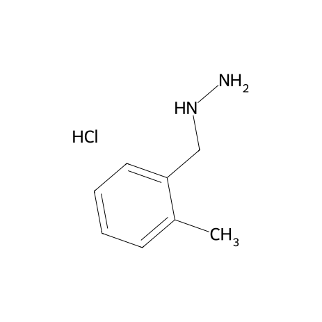 Cc1ccccc1CNN.Cl